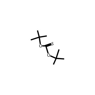 CC(C)(C)OC(=S)OC(C)(C)C